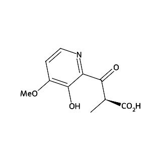 COc1ccnc(C(=O)[C@H](C)C(=O)O)c1O